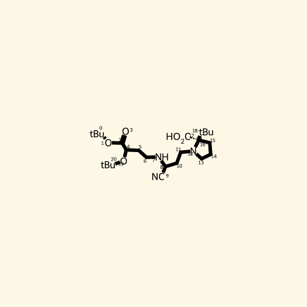 CC(C)(C)OC(=O)C(CCNC(C#N)CCN1CCC[C@]1(C(=O)O)C(C)(C)C)OC(C)(C)C